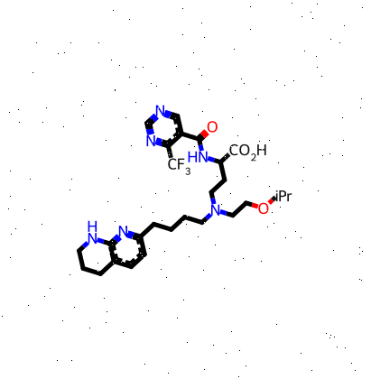 CC(C)OCCN(CCCCc1ccc2c(n1)NCCC2)CCC(NC(=O)c1cncnc1C(F)(F)F)C(=O)O